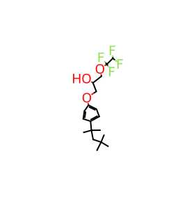 CC(C)(C)CC(C)(C)c1ccc(OCC(O)COC(F)(F)C(F)F)cc1